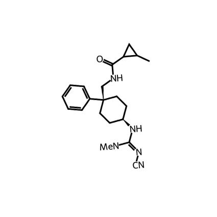 CN/C(=N\C#N)N[C@H]1CC[C@](CNC(=O)C2CC2C)(c2ccccc2)CC1